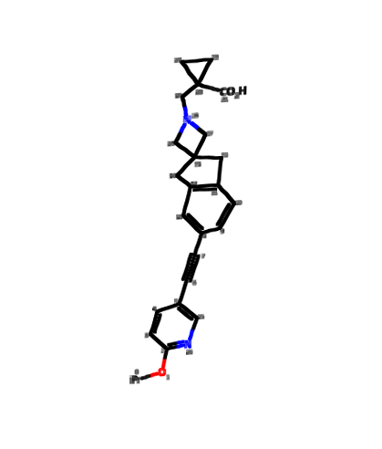 CC(C)Oc1ccc(C#Cc2ccc3c(c2)CC2(C3)CN(CC3(C(=O)O)CC3)C2)cn1